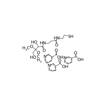 COC(CO)(OC)C(O)C(=O)NCCC(=O)NCCS.O=C(O)c1cccnc1.O=C(O)c1cccnc1.O=C(O)c1cccnc1